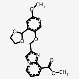 COC(=O)c1cccn2cc(COc3cnc(OC)cc3C3OCCO3)nc12